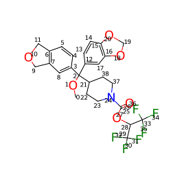 COC(c1ccc2c(c1)COC2)(c1ccc2c(c1)OCO2)C1CCN(C(=O)OC(C(F)(F)F)C(F)(F)F)CC1